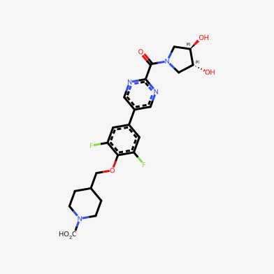 O=C(O)N1CCC(COc2c(F)cc(-c3cnc(C(=O)N4C[C@@H](O)[C@H](O)C4)nc3)cc2F)CC1